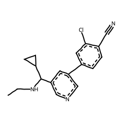 CCNC(c1cncc(-c2ccc(C#N)c(Cl)c2)c1)C1CC1